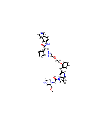 COC[C@H]1CN[C@H](C)CN1CC(=O)N1CC(C)(C)c2ncc(Cc3ccccc3OCCOCCNC[C@@H](C(=O)Nc3ccc4cnccc4c3)c3ccccc3)cc21